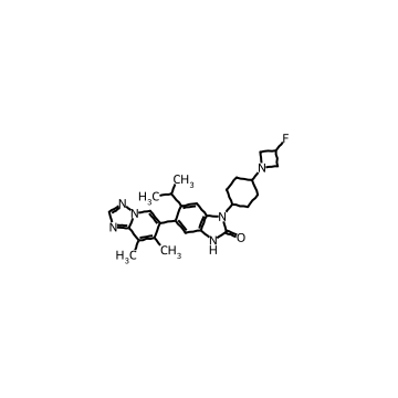 Cc1c(-c2cc3[nH]c(=O)n(C4CCC(N5CC(F)C5)CC4)c3cc2C(C)C)cn2ncnc2c1C